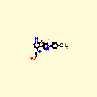 Cc1ccc(-n2ncc3c(c2=O)SC2NC=CC(NCCO)=C32)cc1